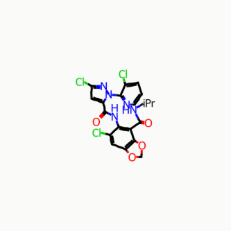 CC(C)NC(=O)c1c(NC(=O)c2cc(Cl)nn2-c2ncccc2Cl)c(Cl)cc2c1OCO2